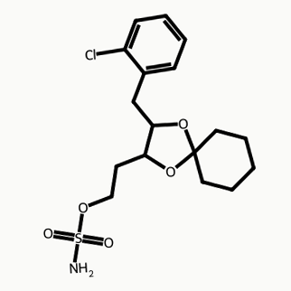 NS(=O)(=O)OCCC1OC2(CCCCC2)OC1Cc1ccccc1Cl